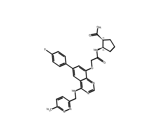 Cc1ccc(CNc2ncnc3c(OCC(=O)N[C@@H]4CCC[C@@H]4C(=O)O)cc(-c4ccc(F)cc4)cc23)nn1